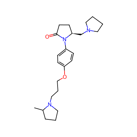 CC1CCCN1CCCOc1ccc(N2C(=O)CC[C@H]2CN2CCCC2)cc1